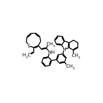 C=C/C1=C(\C=C(/C)Nc2ccccc2-c2cc(C)cc(-n3c4c(c5ccccc53)CCC=C4C)c2)C/C=C\C=C/CS1